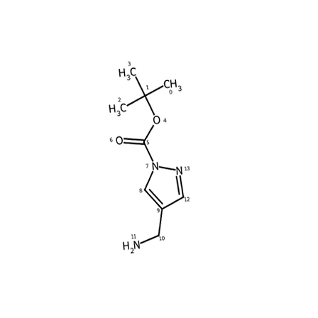 CC(C)(C)OC(=O)n1cc(CN)cn1